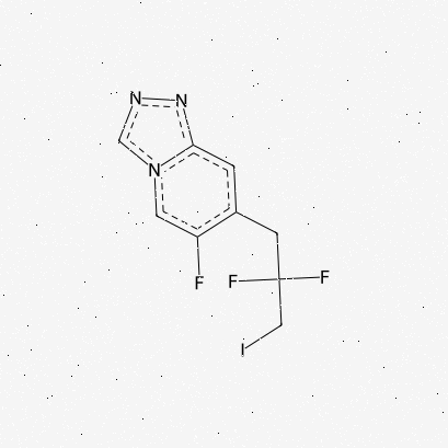 Fc1cn2cnnc2cc1CC(F)(F)CI